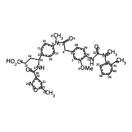 COc1cc(CC(=O)N(C)c2ccc(C(CCC(=O)O)NC(=O)c3cc(C)on3)cc2)ccc1NC(=O)N(C)c1ccccc1C